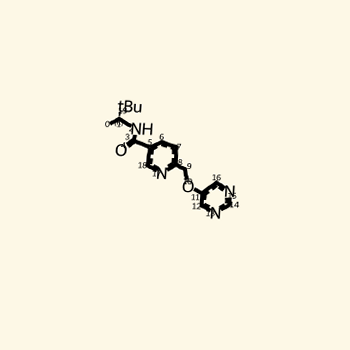 C[C@@H](NC(=O)c1ccc(COc2cncnc2)nc1)C(C)(C)C